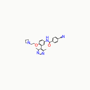 Cc1ncnc(C)c1-c1cc(NC(=O)c2ccc(C#N)cc2)ccc1OCCN1CCC1